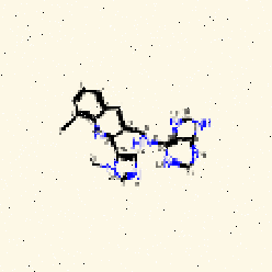 Cc1cccc2cc(CNc3ncnc4[nH]cnc34)c(-c3cncn3C)nc12